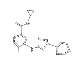 Cc1ccc(C(=O)NC2CC2)cc1Nc1nnc(-c2ccccc2)s1